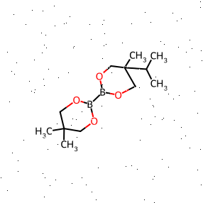 CC(C)C1(C)COB(B2OCC(C)(C)CO2)OC1